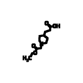 CCOC(=O)CN1CCC(CCC(=O)O)CC1